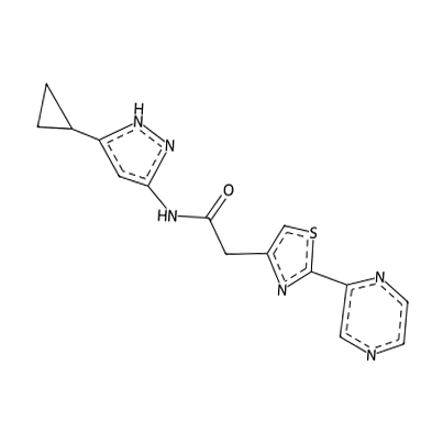 O=C(Cc1csc(-c2cnccn2)n1)Nc1cc(C2CC2)[nH]n1